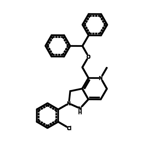 CN1CC=C2NN(c3ccccc3Cl)CC2=C1COC(c1ccccc1)c1ccccc1